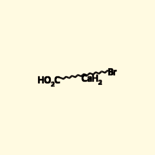 O=C(O)CCCCCCCCCCCCCCCCCBr.[CaH2]